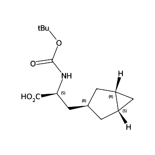 CC(C)(C)OC(=O)N[C@@H](C[C@H]1C[C@@H]2C[C@@H]2C1)C(=O)O